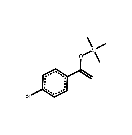 C=C(O[Si](C)(C)C)c1ccc(Br)cc1